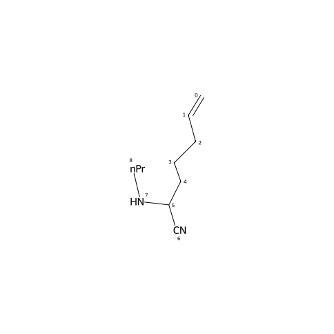 C=CCCCC(C#N)NCCC